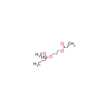 C=CC(=O)OCCCO[SiH](CCC)OC